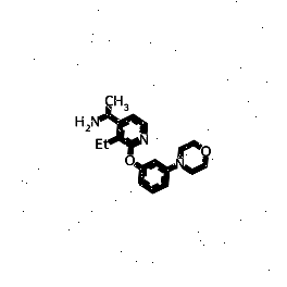 CCc1c(C(C)N)ccnc1Oc1cccc(N2CCOCC2)c1